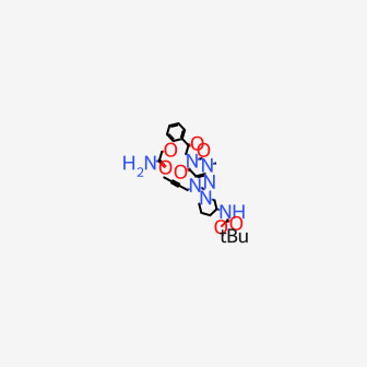 CC#CCn1c(N2CCCC(NC(=O)OC(C)(C)C)C2)nc2c1c(=O)n(CC(=O)c1ccccc1OCC(N)=O)c(=O)n2C